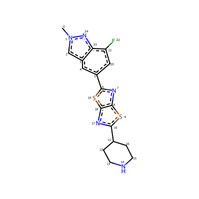 Cn1cc2cc(-c3nc4sc(C5CCNCC5)nc4s3)cc(F)c2n1